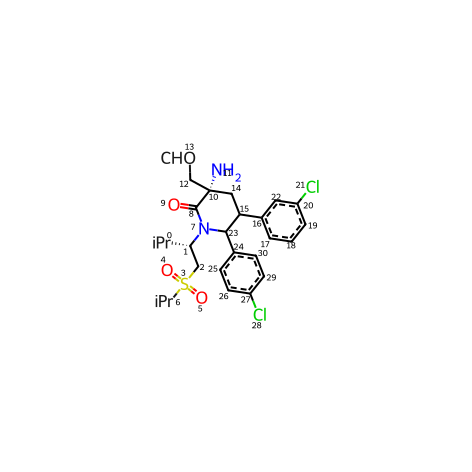 CC(C)[C@@H](CS(=O)(=O)C(C)C)N1C(=O)[C@@](N)(CC=O)CC(c2cccc(Cl)c2)C1c1ccc(Cl)cc1